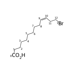 O=C(O)CCCCCCCC/C=C\CCBr